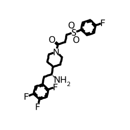 N[C@H](Cc1cc(F)c(F)cc1F)C1CCN(C(=O)CCS(=O)(=O)c2ccc(F)cc2)CC1